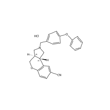 Cl.N#Cc1ccc2c(c1)[C@H]1CN(Cc3ccc(Oc4ccccc4)cc3)C[C@@H]1CO2